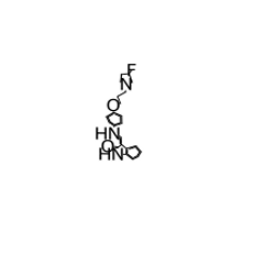 O=C1Nc2ccccc2C1=CNc1ccc(OCCCN2CCC(F)C2)cc1